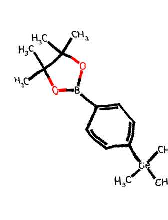 CC1(C)OB(c2cc[c]([Ge]([CH3])([CH3])[CH3])cc2)OC1(C)C